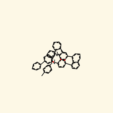 Cc1ccc(N(c2ccccc2)c2ccc(-c3cccc4cccc(-c5ccc6c(c5)c5ccccc5n6-c5ccc(-c6ccccc6)cc5)c34)cc2)cc1